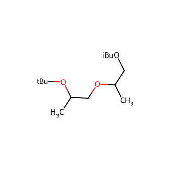 CC(C)COCC(C)OCC(C)OC(C)(C)C